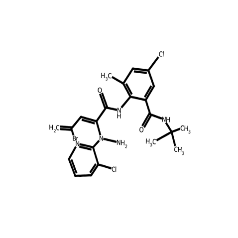 C=C(Br)/C=C(/C(=O)Nc1c(C)cc(Cl)cc1C(=O)NC(C)(C)C)N(N)c1ncccc1Cl